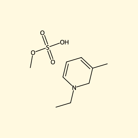 CCN1C=CC=C(C)C1.COS(=O)(=O)O